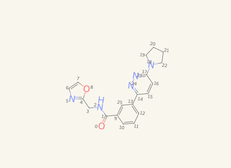 O=C(NCc1ncco1)c1cccc(-c2ccc(N3CCCC3)nn2)c1